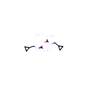 CC(=NCC1CC1)OC(C)=NCC1CC1.Cl